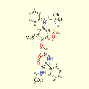 CCCCC1(CC)CN(c2ccccc2)c2cc(SC)c(OCC(=O)N[C@@H](C(=O)NCC(=O)O)c3ccccc3)cc2S(=O)(=O)C1